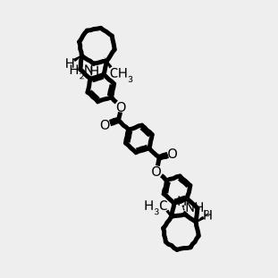 C[C@@]12CCCCC[C@@H](Cc3ccc(OC(=O)c4ccc(C(=O)Oc5ccc6c(c5)[C@@]5(C)CCCCC[C@@H](C6)[C@@H]5N)cc4)cc31)[C@@H]2N